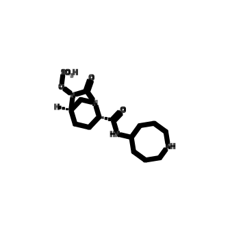 O=C(NC1CCCNCCC1)[C@@H]1CC[C@@H]2CN1C(=O)N2OS(=O)(=O)O